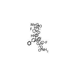 COC(=O)N[C@@H](C)C(=O)N1C[C@@H](F)C[C@H]1c1ncc(C2(c3cnc([C@@H]4C[C@H](F)CN4C(=O)[C@H](C)OC(N)=O)[nH]3)C=CC(c3ccccc3)C=C2)[nH]1